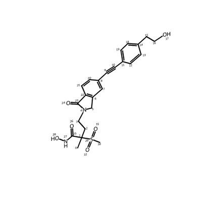 CC(CCN1Cc2cc(C#Cc3ccc(CCO)cc3)ccc2C1=O)(C(=O)NO)S(C)(=O)=O